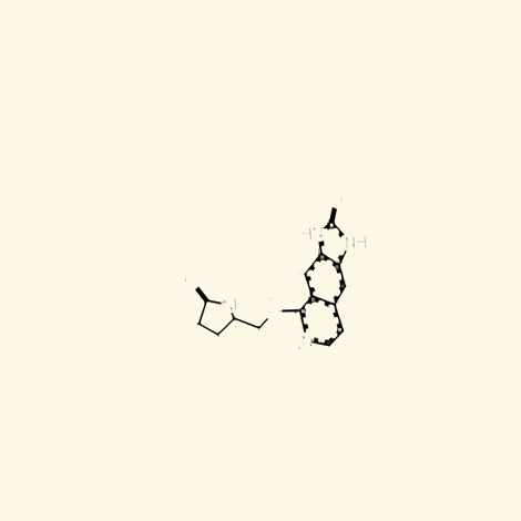 O=C1CCC(COc2nccc3cc4[nH]c(=O)[nH]c4cc23)N1